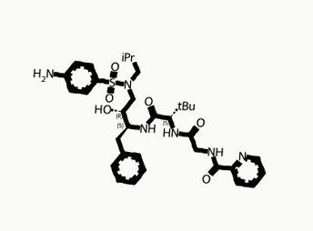 CC(C)CN(C[C@@H](O)[C@H](Cc1ccccc1)NC(=O)[C@@H](NC(=O)CNC(=O)c1ccccn1)C(C)(C)C)S(=O)(=O)c1ccc(N)cc1